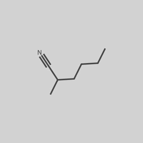 CCCC[C](C)C#N